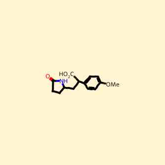 COc1ccc(C(CC2CCC(=O)N2)C(=O)O)cc1